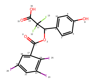 O=C(OC(c1ccc(O)cc1)C(F)(F)C(=O)O)c1cc(I)cc(I)c1I